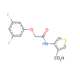 O=C(COc1cc(F)cc(F)c1)Nc1cscc1C(=O)O